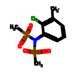 [CH2]c1cccc(N(S(C)(=O)=O)S(C)(=O)=O)c1Cl